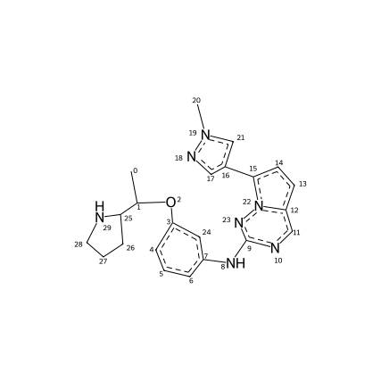 CC(Oc1cccc(Nc2ncc3ccc(-c4cnn(C)c4)n3n2)c1)C1CCCN1